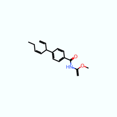 C=CC(/C=C\CC)c1ccc(C(=O)NC(=C)OC)cc1